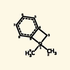 C[Si]1(C)Cc2ccccc21